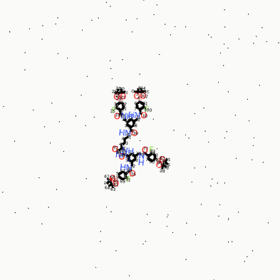 CC1(C)OB(c2ccc(C(=O)NCc3cc(CNC(=O)c4ccc(B5OC(C)(C)C(C)(C)O5)cc4F)cc(C(=O)NCCCCC(NC(=O)c4cc(CNC(=O)c5ccc(B6OC(C)(C)C(C)(C)O6)cc5F)cc(CNC(=O)c5ccc(B6OC(C)(C)C(C)(C)O6)cc5F)c4)C(N)=O)c3)c(F)c2)OC1(C)C